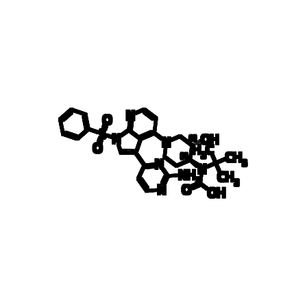 CC(C)(C)N(C(=O)O)[C@H]1CCN(c2ccnc3c2c(-c2ccnc(N)n2)cn3S(=O)(=O)c2ccccc2)C[C@@H]1O